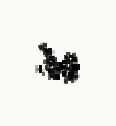 CC(c1oc2cccc(F)c2c(=O)c1-c1cccc(F)c1)n1nc(-c2ccc(CNC3CC3)cc2)c2c(N)ncnc21